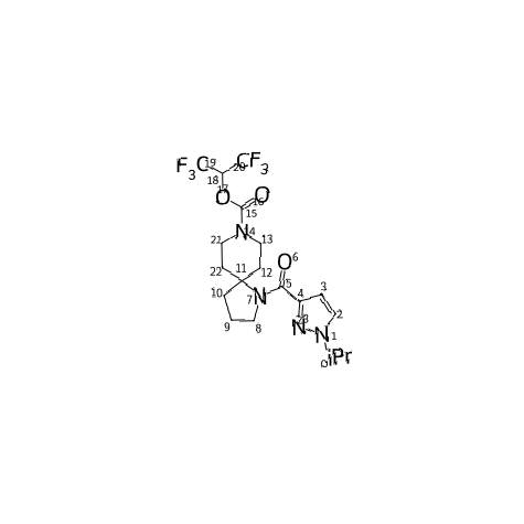 CC(C)n1ccc(C(=O)N2CCCC23CCN(C(=O)OC(C(F)(F)F)C(F)(F)F)CC3)n1